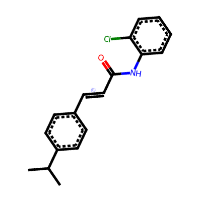 CC(C)c1ccc(/C=C/C(=O)Nc2ccccc2Cl)cc1